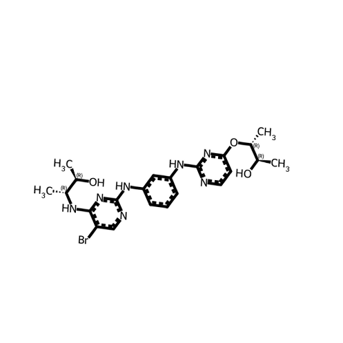 C[C@@H](O)[C@@H](C)Nc1nc(Nc2cccc(Nc3nccc(O[C@H](C)[C@@H](C)O)n3)c2)ncc1Br